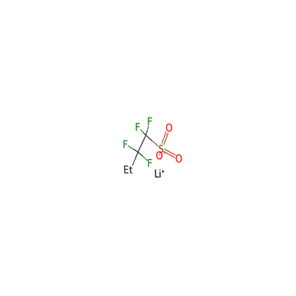 CCC(F)(F)C(F)(F)S(=O)(=O)[O-].[Li+]